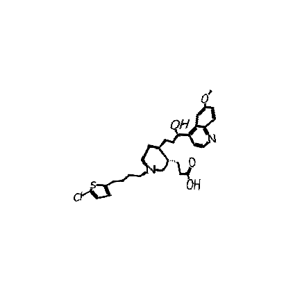 COc1ccc2nccc([C@H](O)CC[C@@H]3CCN(CCCCc4ccc(Cl)s4)C[C@H]3CCC(=O)O)c2c1